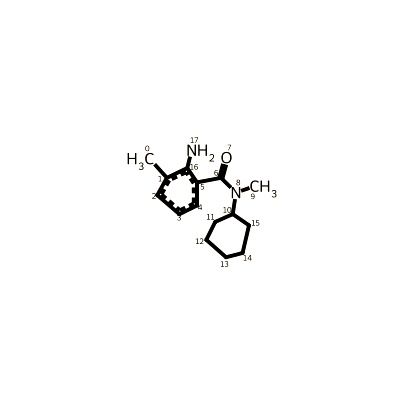 Cc1cccc(C(=O)N(C)C2CCCCC2)c1N